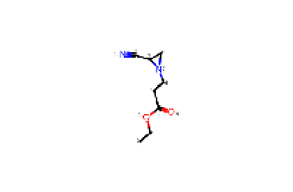 CCOC(=O)CCN1CC1C#N